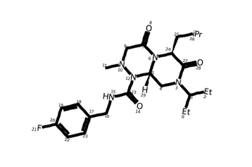 CCC(CC)N1C[C@H]2N(C(=O)CN(C)N2C(=O)NCc2ccc(F)cc2)[C@@H](CC(C)C)C1=O